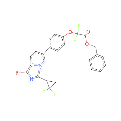 O=C(OCc1ccccc1)C(F)(F)Oc1ccc(-c2ccc3c(Br)nc(C4CC4(F)F)n3c2)cc1